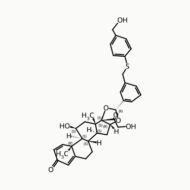 C[C@]12C=CC(=O)C=C1CC[C@@H]1[C@@H]2[C@@H](O)C[C@@]2(C)[C@H]1C[C@H]1O[C@@H](c3cccc(CSc4ccc(CO)cc4)c3)O[C@]12C(=O)CO